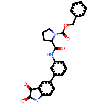 O=C1Nc2ccc(-c3cccc(NC(=O)C4CCCN4C(=O)OCc4ccccc4)c3)cc2C1=O